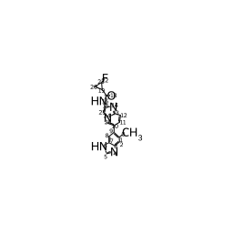 Cc1cc2nc[nH]c2cc1-c1ccc2nc(NC(=O)C3CC3F)cn2c1